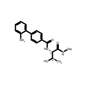 C[C@@H](O)[C@H](NC(=O)c1ccc(-c2ccccc2N)cc1)C(=O)NO